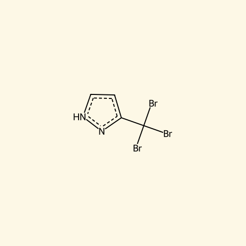 BrC(Br)(Br)c1cc[nH]n1